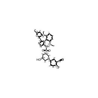 COc1cccc(OC)c1-n1c(NS(=O)(=O)[C@H]2C[C@@H](O)CN(c3ccc(F)c(C#N)c3)C2)nnc1-c1ccc(C)o1